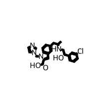 CC(Cc1ccc2c(c1)cc(C(=O)O)n2Cn1ccnc1)NCC(O)c1cccc(Cl)c1